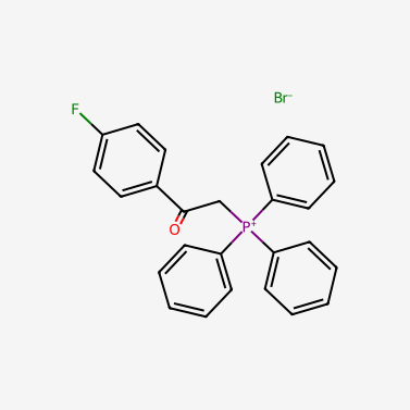 O=C(C[P+](c1ccccc1)(c1ccccc1)c1ccccc1)c1ccc(F)cc1.[Br-]